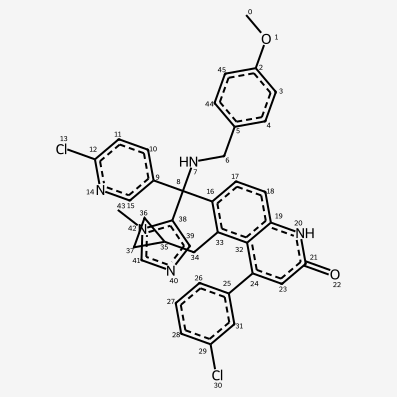 COc1ccc(CNC(c2ccc(Cl)nc2)(c2ccc3[nH]c(=O)cc(-c4cccc(Cl)c4)c3c2CC2CC2)c2cncn2C)cc1